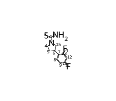 NC(=S)N1CCC(c2ccc(F)cc2F)C1